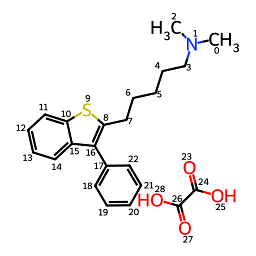 CN(C)CCCCCc1sc2ccccc2c1-c1ccccc1.O=C(O)C(=O)O